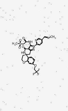 C/N=C/c1ccc(-n2nc3c(c2NC(=O)CS(C)(=O)=O)C(=O)N[C@]2(CCOc4cc(OCC(F)(F)F)ccc42)C3)nc1